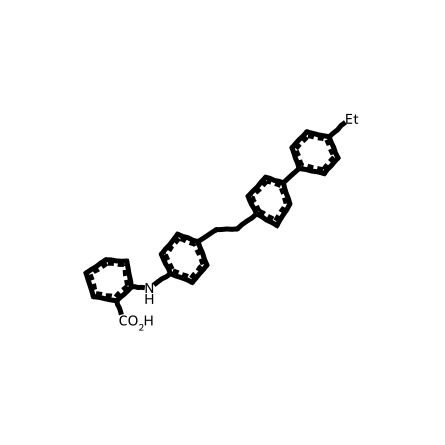 CCc1ccc(-c2ccc(CCc3ccc(Nc4ccccc4C(=O)O)cc3)cc2)cc1